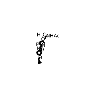 CC(=O)N[C@@H](C)COc1cnc(-c2nc3ccc(OCC4CC4)cc3o2)c(F)c1